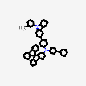 Cc1cccc(-n2c3ccccc3c3cc(-c4ccc(N(c5ccc(-c6ccccc6)cc5)c5ccc6c(c5)C5(c7ccccc7-c7ccccc75)c5ccccc5-6)cc4)ccc32)c1